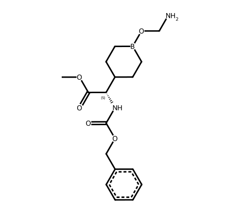 COC(=O)[C@@H](NC(=O)OCc1ccccc1)C1CCB(OCN)CC1